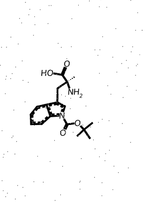 CC(C)(C)OC(=O)n1cc(C[C@](C)(N)C(=O)O)c2ccccc21